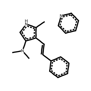 Cc1[nH]cc(N(C)C)c1C=Cc1ccccc1.c1ccncc1